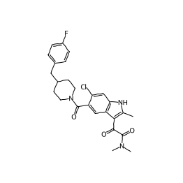 Cc1[nH]c2cc(Cl)c(C(=O)N3CCC(Cc4ccc(F)cc4)CC3)cc2c1C(=O)C(=O)N(C)C